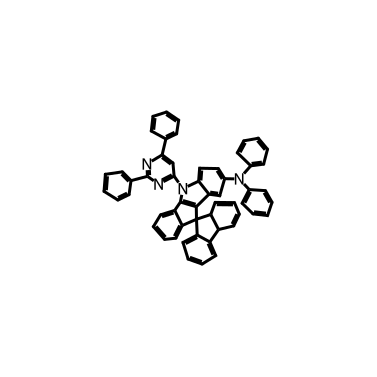 C1=CC2c3ccccc3C3(c4ccccc4-c4c3c3cc(N(c5ccccc5)c5ccccc5)ccc3n4-c3cc(-c4ccccc4)nc(-c4ccccc4)n3)C2C=C1